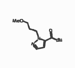 COCCCn1nccc1C(=O)C(C)(C)C